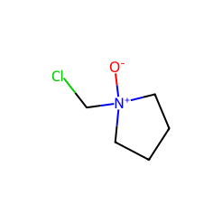 [O-][N+]1(CCl)CCCC1